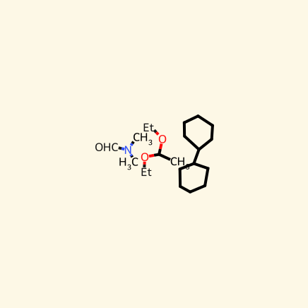 C1CCC(C2CCCCC2)CC1.CCOC(C)OCC.CN(C)C=O